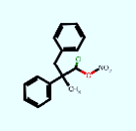 CC(Cc1ccccc1)(c1ccccc1)C(Cl)O[N+](=O)[O-]